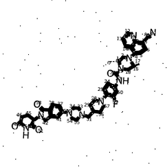 C[C@@H]1CN(c2ccc(C#N)c3ncccc23)[C@@H](C)CN1C(=O)Nc1ccc(N2CCC(CN3CCN(c4ccc5c(c4)CN(C4CCC(=O)NC4=O)C5=O)CC3)CC2)c(F)c1